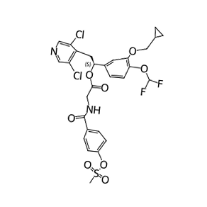 CS(=O)(=O)Oc1ccc(C(=O)NCC(=O)O[C@@H](Cc2c(Cl)cncc2Cl)c2ccc(OC(F)F)c(OCC3CC3)c2)cc1